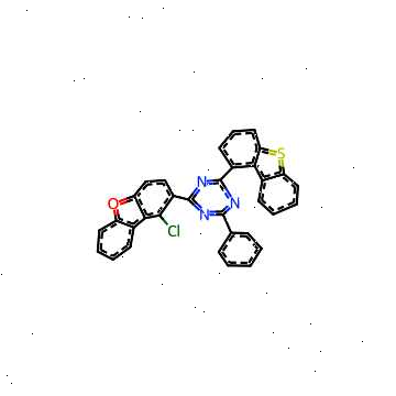 Clc1c(-c2nc(-c3ccccc3)nc(-c3cccc4sc5ccccc5c34)n2)ccc2oc3ccccc3c12